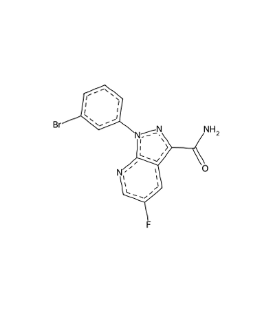 NC(=O)c1nn(-c2cccc(Br)c2)c2ncc(F)cc12